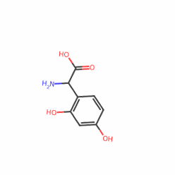 NC(C(=O)O)c1ccc(O)cc1O